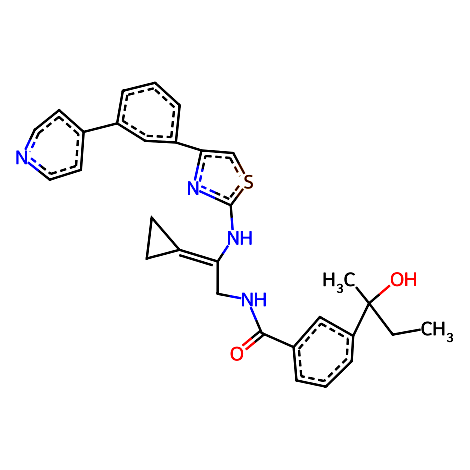 CCC(C)(O)c1cccc(C(=O)NCC(Nc2nc(-c3cccc(-c4ccncc4)c3)cs2)=C2CC2)c1